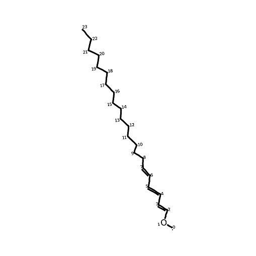 [CH2]OC=CC=CC=CCCCCCCCCCCCCCCCC